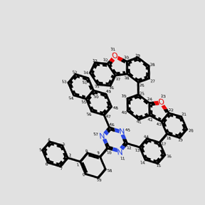 C1=C(c2ccccc2)C=C(c2nc(-c3cccc(-c4cccc5oc6c(-c7cccc8oc9ccccc9c78)cccc6c45)c3)nc(-c3ccc4ccccc4c3)n2)CC1